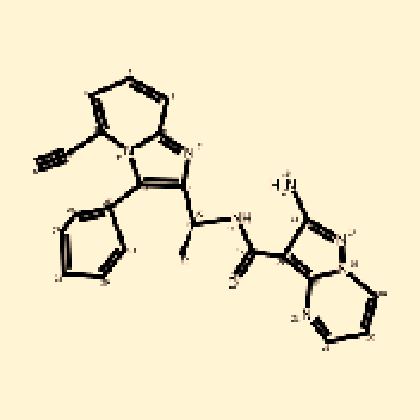 C#Cc1cccc2nc([C@H](C)NC(=O)c3c(N)nn4cccnc34)c(-c3ccccc3)n12